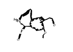 COc1cc2c(cc1C=O)C=CNC2=C=O